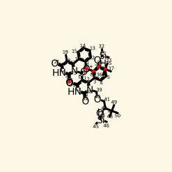 Cc1c(-c2ccccc2[S+]([O-])c2ccccc2-c2c(C)c(=O)[nH]c(=O)n2COCC(O[SiH](C)C)C(C)(C)C)n(COCC(O[SiH](C)C)C(C)(C)C)c(=O)[nH]c1=O